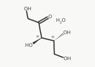 O.O=C(CO)[C@H](O)[C@H](O)CO